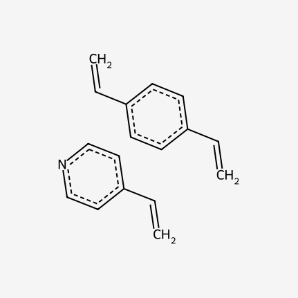 C=Cc1ccc(C=C)cc1.C=Cc1ccncc1